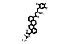 N[C@@H](CC(=O)C1CC=CC2=C1CCc1c2ccc2c(-c3nc(C(F)(F)F)n[nH]3)cccc12)Cc1cc(F)c(F)cc1F